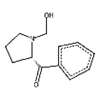 O=C(c1ccccc1)[C@@H]1CCCN1CO